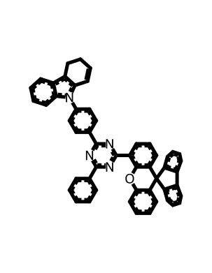 C1=Cc2c(c3ccccc3n2-c2ccc(-c3nc(-c4ccccc4)nc(-c4cccc5c4Oc4ccccc4C54c5ccccc5-c5ccccc54)n3)cc2)CC1